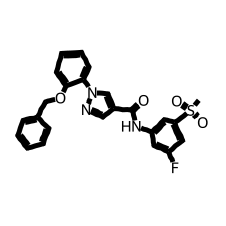 CS(=O)(=O)c1cc(F)cc(NC(=O)c2cnn(-c3ccccc3OCc3ccccc3)c2)c1